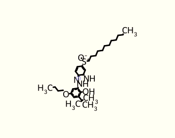 CCCCCCCCCCCC[S+]([O-])C1=CC(=N)/C(=N\Nc2cc(OCCCC)cc(C(C)(C)C)c2O)C=C1